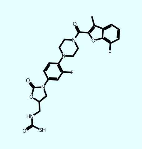 Cc1c(C(=O)N2CCN(c3ccc(N4CC(CNC(=O)S)OC4=O)cc3F)CC2)oc2c(F)cccc12